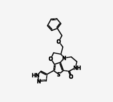 O=C1NCCN2c3c1sc(-c1cn[nH]c1)c3OCC2COCc1ccccc1